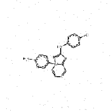 Nc1ccc([N+]23C=CN=CC2=NC(Nc2ccc(Cl)cc2)=N3)cn1